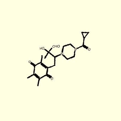 CC1=C(C)C(=O)C(CC(N2CCN(C(=O)C3CC3)CC2)C(C)(O)C=O)=C(C)C1=O